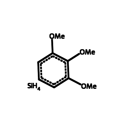 COc1cccc(OC)c1OC.[SiH4]